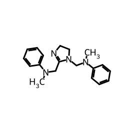 CN(CC1=NCCN1CN(C)c1ccccc1)c1ccccc1